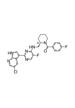 O=C(c1ccc(F)cc1)N1CCCC[C@@H]1CNc1nc(-c2c[nH]c3ncc(Cl)cc23)ncc1F